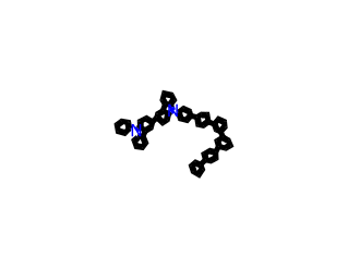 c1ccc(-c2ccc(-c3cccc(-c4cccc(-c5ccc(-c6ccc(-n7c8ccccc8c8cc(-c9ccc%10c(c9)c9ccccc9n%10-c9ccccc9)ccc87)cc6)cc5)c4)c3)cc2)cc1